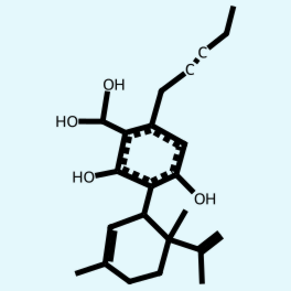 C=C(C)C1(C)CCC(C)=CC1c1c(O)cc(CCCCC)c(C(O)O)c1O